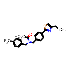 CCCCCCCCCCCc1csc(-c2ccc(CN(Cc3ccc(C(F)(F)F)cc3)C(=O)C(=O)O)cc2)n1